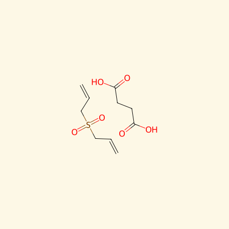 C=CCS(=O)(=O)CC=C.O=C(O)CCC(=O)O